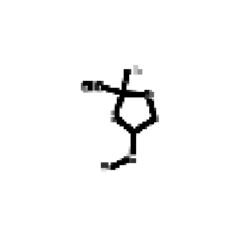 CCOC1COC(C)(C=O)O1